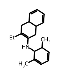 CCC1=C(NC2C(C)=CC=CC2C)CC2C=CC=CC2C1